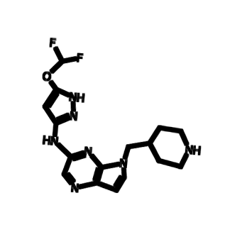 FC(F)Oc1cc(Nc2cnc3ccn(CC4CCNCC4)c3n2)n[nH]1